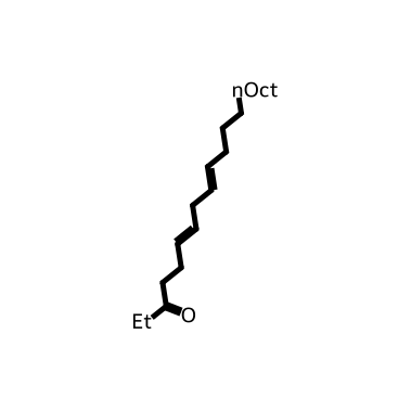 CCCCCCCCCCCC=CCC=CCCC(=O)CC